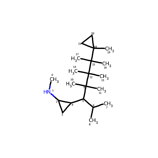 CNC1CC1C(C(C)C)C(C)(C)C(C)(C)C(C)(C)C1(C)CC1